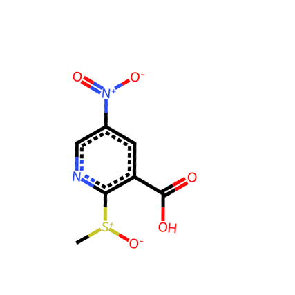 C[S+]([O-])c1ncc([N+](=O)[O-])cc1C(=O)O